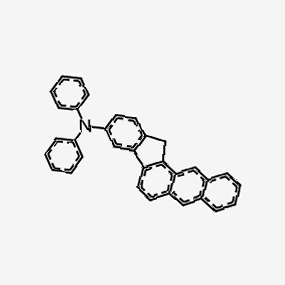 c1ccc(N(c2ccccc2)c2ccc3c(c2)-c2ccc4cc5ccccc5cc4c2C3)cc1